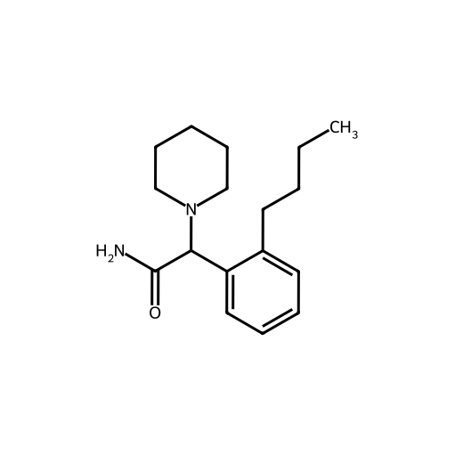 CCCCc1ccccc1C(C(N)=O)N1CCCCC1